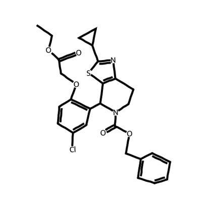 CCOC(=O)COc1ccc(Cl)cc1C1c2sc(C3CC3)nc2CCN1C(=O)OCc1ccccc1